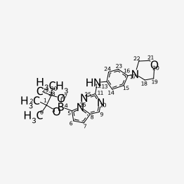 CC1(C)OB(c2ccc3cnc(Nc4ccc(N5CCOCC5)cc4)nn23)OC1(C)C